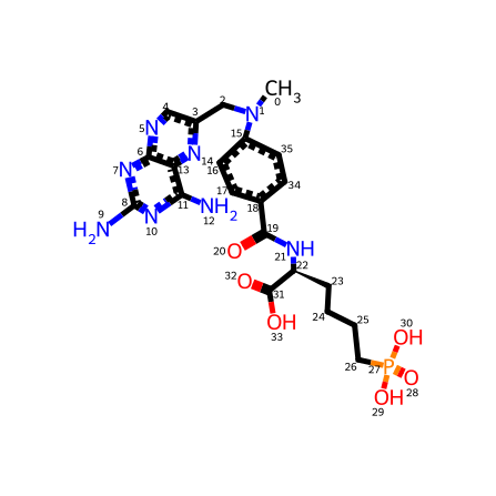 CN(Cc1cnc2nc(N)nc(N)c2n1)c1ccc(C(=O)N[C@@H](CCCCP(=O)(O)O)C(=O)O)cc1